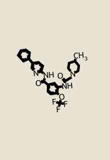 CC1CCN(CC(=O)Nc2cc(C(=O)Nc3ccc(-c4ccccc4)cn3)ccc2OC(F)(F)F)CC1